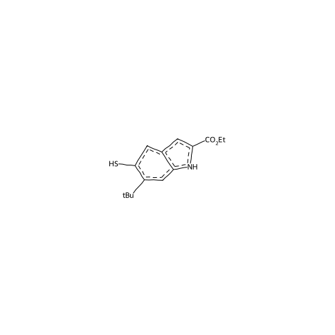 CCOC(=O)c1cc2cc(S)c(C(C)(C)C)cc2[nH]1